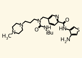 CCC(C)NC(=O)N(CCCN1CCN(C)CC1)Cc1ccc(C(=O)Nc2cscc2N)nc1